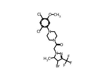 COc1cc(N2CCN(C(=O)CN3N=C(C(F)(F)F)C(Br)C3C)CC2)c(Cl)cc1Cl